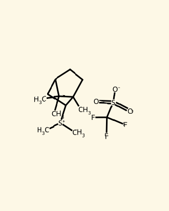 C[S+](C)C1CC2CCC1(C)C2(C)C.O=S(=O)([O-])C(F)(F)F